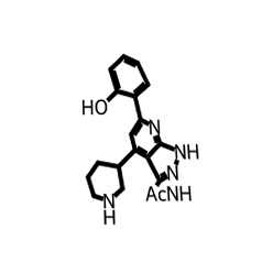 CC(=O)Nc1n[nH]c2nc(-c3ccccc3O)cc(C3CCCNC3)c12